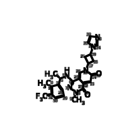 Cc1c([C@@H](C)Nc2nn(C)c(=O)c3cc(=O)n(C4CC(n5ccnc5)C4)cc23)cccc1C(F)(F)F